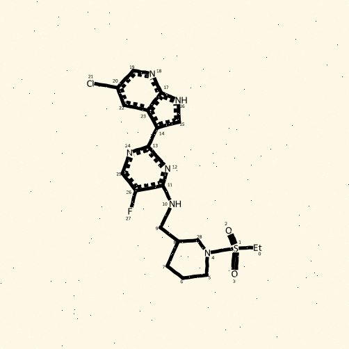 CCS(=O)(=O)N1CCCC(CNc2nc(-c3c[nH]c4ncc(Cl)cc34)ncc2F)C1